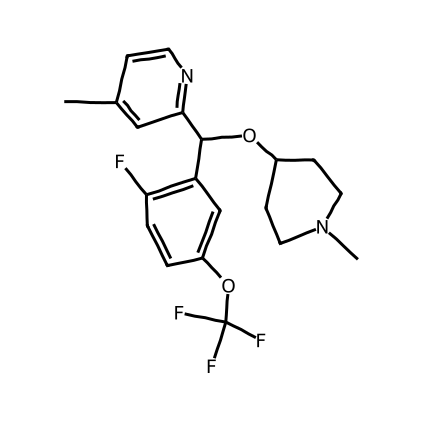 Cc1ccnc(C(OC2CCN(C)CC2)c2cc(OC(F)(F)F)ccc2F)c1